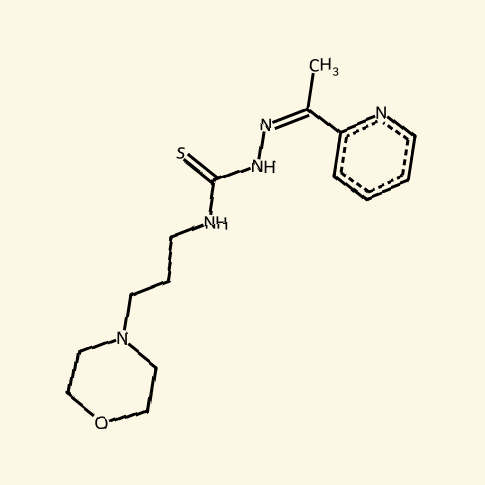 CC(=NNC(=S)NCCCN1CCOCC1)c1ccccn1